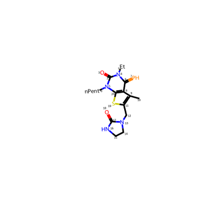 CCCCCn1c(=O)n(CC)c(=P)c2c(C)c(CN3CCNC3=O)sc21